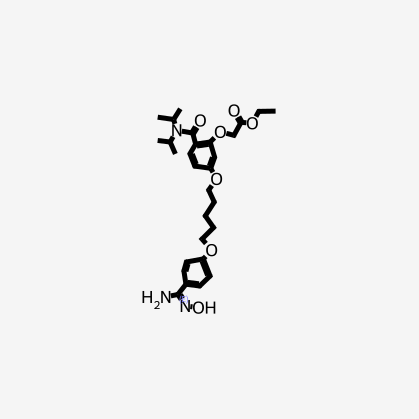 CCOC(=O)COc1cc(OCCCCCOc2ccc(/C(N)=N\O)cc2)ccc1C(=O)N(C(C)C)C(C)C